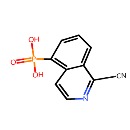 N#Cc1nccc2c(P(=O)(O)O)cccc12